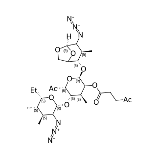 CC[C@@H]1O[C@H](O[C@H]2[C@H](C)C(OC(=O)CCC(C)=O)[C@H](O[C@@H]3C4CO[C@H](O4)C(N=[N+]=[N-])[C@H]3C)O[C@H]2C(C)=O)C(N=[N+]=[N-])[C@@H](C)[C@@H]1C